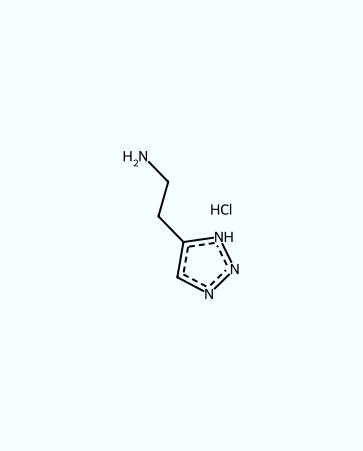 Cl.NCCc1cnn[nH]1